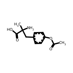 CC(=O)Oc1ccc(CC(C)(N)C(=O)O)cc1